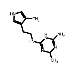 Cc1c[nH]cc1CCNC1=NC(C)N=C(N)N1